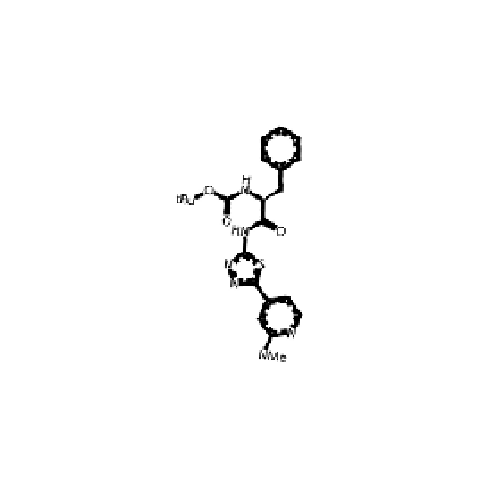 CNc1cc(-c2nnc(NC(=O)[C@H](Cc3ccccc3)NC(=O)OC(C)(C)C)s2)ccn1